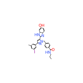 CCCNC(=O)c1ccc(Cn2nc(-c3cc(C)cc(I)c3)cc2C2=NC3C=CC(O)=CC3N2)cc1